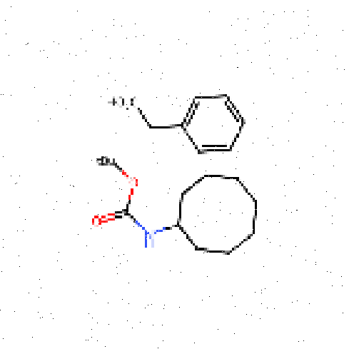 CC(C)(C)OC(=O)NC1CCCCCCC1.O=C(O)Cc1ccccc1